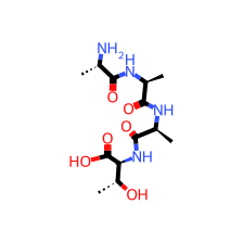 C[C@H](N)C(=O)N[C@@H](C)C(=O)N[C@@H](C)C(=O)N[C@H](C(=O)O)[C@@H](C)O